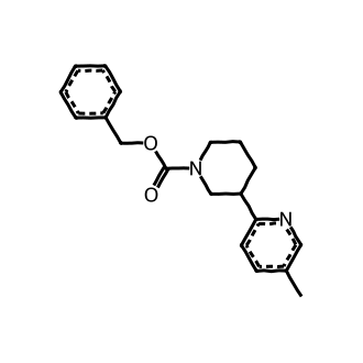 Cc1ccc(C2CCCN(C(=O)OCc3ccccc3)C2)nc1